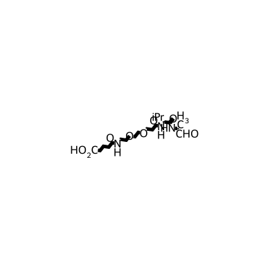 CC(C=O)NC(=O)C(NC(=O)CCOCCOCCNC(=O)CCCC(=O)O)C(C)C